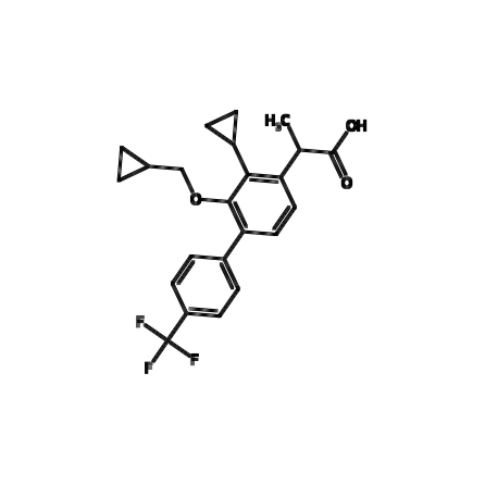 CC(C(=O)O)c1ccc(-c2ccc(C(F)(F)F)cc2)c(OCC2CC2)c1C1CC1